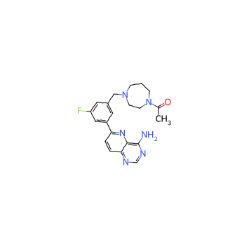 CC(=O)N1CCCN(Cc2cc(F)cc(-c3ccc4ncnc(N)c4n3)c2)CC1